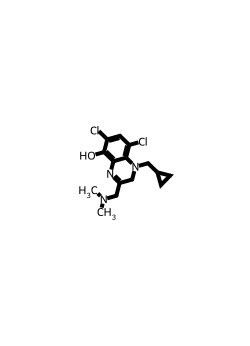 CN(C)CC1=Nc2c(O)c(Cl)cc(Cl)c2N(CC2CC2)C1